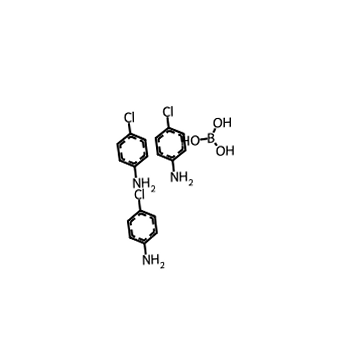 Nc1ccc(Cl)cc1.Nc1ccc(Cl)cc1.Nc1ccc(Cl)cc1.OB(O)O